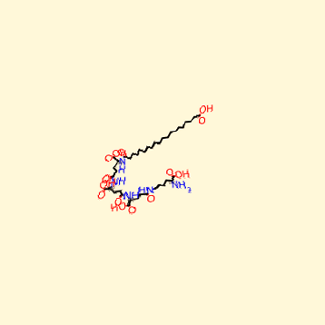 N[C@@H](CCCCNC(=O)CC[C@H](NC(=O)CC[C@H](NC(=O)CC[C@H](NC(=O)CCCCCCCCCCCCCCCCCCC(=O)O)C(=O)O)C(=O)O)C(=O)O)C(=O)O